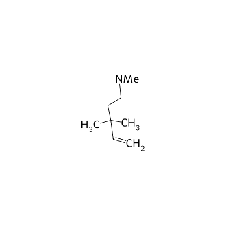 C=CC(C)(C)CCNC